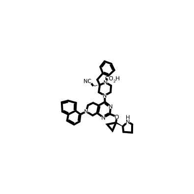 N#CC[C@@]1(Cc2ccccc2)CN(c2nc(OC3([C@@H]4CCCN4)CC3)nc3c2CCN(c2cccc4ccccc24)C3)CCN1C(=O)O